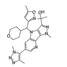 Cc1cc(C(C2CCOCC2)n2c3cc(-c4c(C)nnn4C)cnc3c3c2c(C(C)(C)O)nn3C)no1